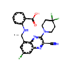 C[C@H](Nc1ccccc1C(=O)O)c1cc(F)cc2nc(C#N)c(N3CCC(F)(F)CC3)nc12